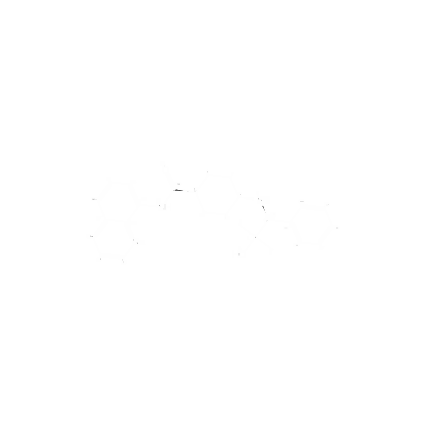 CC(C)(O)[C@@H](N[C@H]1CC[C@H](C(=O)Nc2cccc3cccnc23)CC1)c1ccccc1